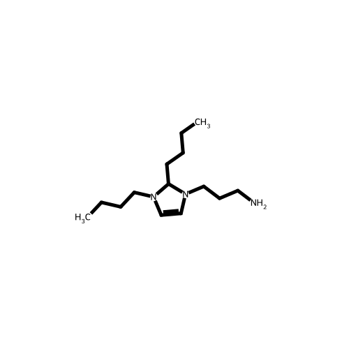 CCCCC1N(CCCC)C=CN1CCCN